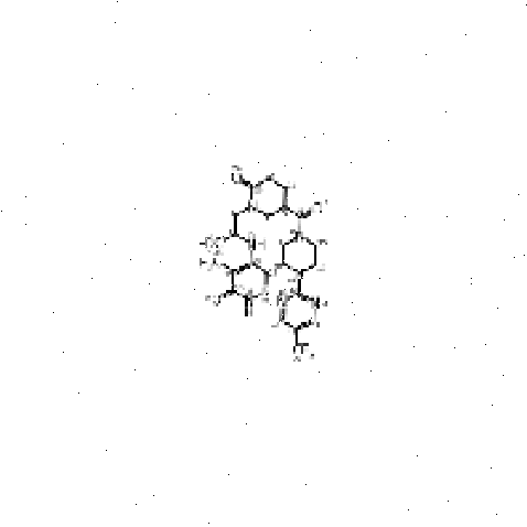 CC(CN1CC(C(=O)N2CCN(c3ncc(C(F)(F)F)cn3)CC2)CCC1=O)Nc1cn[nH]c(=O)c1C(F)(F)F